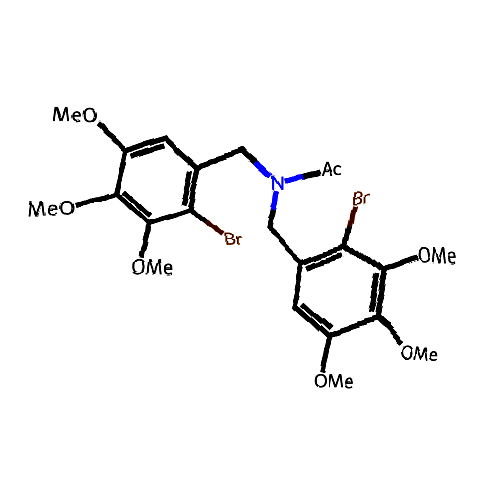 COc1cc(CN(Cc2cc(OC)c(OC)c(OC)c2Br)C(C)=O)c(Br)c(OC)c1OC